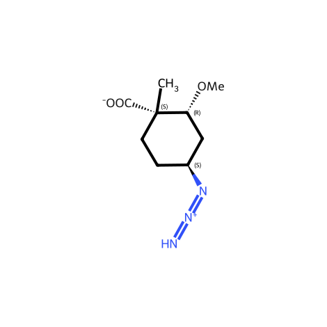 CO[C@@H]1C[C@@H](N=[N+]=N)CC[C@]1(C)C(=O)[O-]